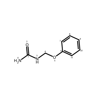 NC(=O)NCOc1[c]cccc1